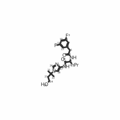 CCCC(NC(=O)Cc1cc(F)cc(F)c1)C(=O)Nc1cn(C(C)(C)CCO)cn1